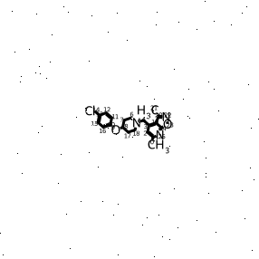 Cc1cc(CN2CCC(Oc3ccc(Cl)cc3)CC2)c2c(C)noc2n1